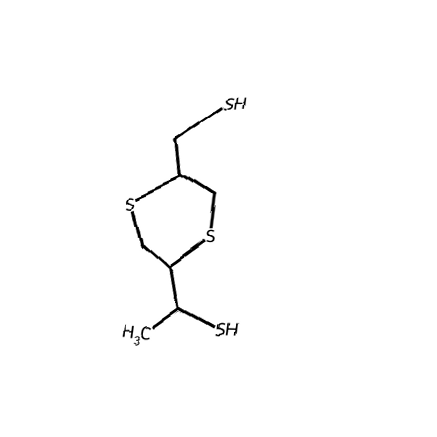 CC(S)C1CSC(CS)CS1